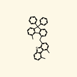 Cc1cccc2c1-c1c(Cc3ccc(C)c4c3sc3cccc(C)c34)cccc1C2(c1ccccc1)c1ccccc1